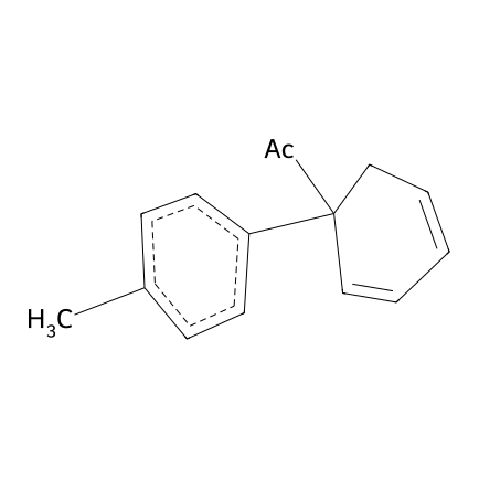 CC(=O)C1(c2ccc(C)cc2)C=CC=CC1